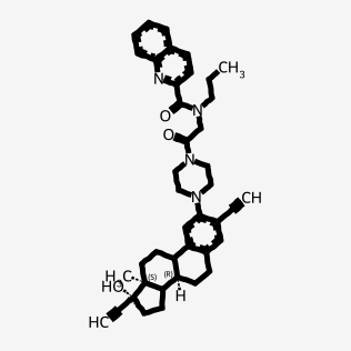 C#Cc1cc2c(cc1N1CCN(C(=O)CN(CCC)C(=O)c3ccc4ccccc4n3)CC1)C1CC[C@@]3(C)C(CC[C@@]3(O)C#C)[C@@H]1CC2